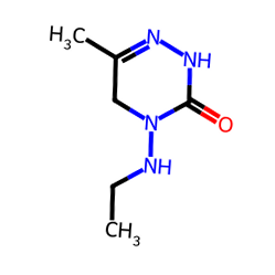 CCNN1CC(C)=NNC1=O